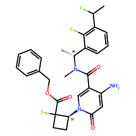 CC(F)c1cccc([C@@H](C)N(C)C(=O)c2cn([C@H]3CCC3(F)C(=O)OCc3ccccc3)c(=O)cc2N)c1F